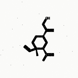 C=C[C@]1(C)CC[C@@H](C(=C)CO)C[C@H]1C(=C)C